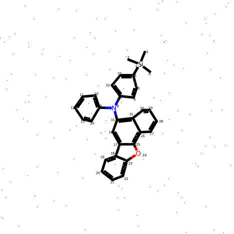 C[Si](C)(C)c1ccc(N(c2ccccc2)c2cc3c4ccccc4oc3c3ccccc23)cc1